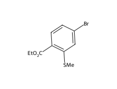 CCOC(=O)c1ccc(Br)cc1SC